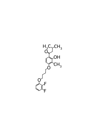 Cc1c(OCCCCOc2cccc(F)c2F)ccc(C(=O)CC(C)C)c1O